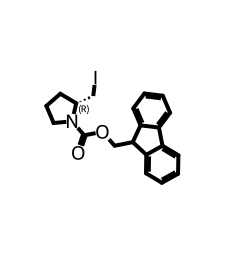 O=C(OCC1c2ccccc2-c2ccccc21)N1CCC[C@@H]1CI